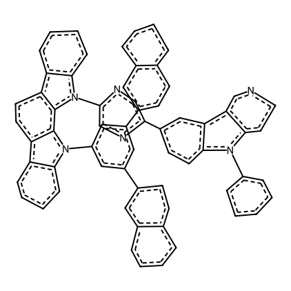 c1ccc(-n2c3ccncc3c3cc(-c4cnc(-n5c6ccccc6c6ccc7c8ccccc8n(-c8cc(-c9ccc%10ccccc%10c9)cc(-c9ccc%10ccccc%10c9)c8)c7c65)cn4)ccc32)cc1